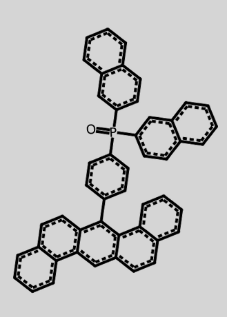 O=P(c1ccc(-c2c3ccc4ccccc4c3cc3ccc4ccccc4c23)cc1)(c1ccc2ccccc2c1)c1ccc2ccccc2c1